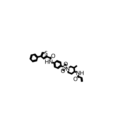 C=CC(=O)NC1CCN(S(=O)(=O)c2ccc(NC(=O)c3cc(-c4ccccc4)cs3)cc2)CC1C